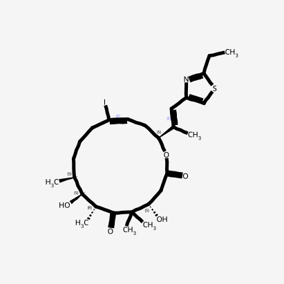 CCc1nc(/C=C(\C)[C@@H]2C/C=C(/I)CCC[C@H](C)[C@H](O)[C@@H](C)C(=O)C(C)(C)[C@@H](O)CC(=O)O2)cs1